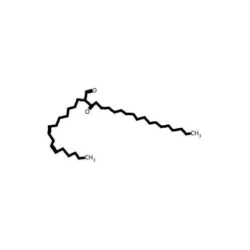 CCCCC/C=C\C/C=C\CCCCCCC([C]=O)C(=O)CCCCCCCCCCCCCCCCC